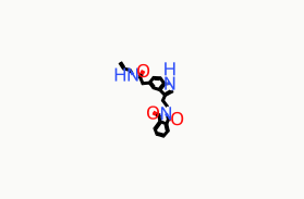 C=CCNC(=O)Cc1ccc2[nH]cc(CCN3C(=O)c4ccccc4C3=O)c2c1